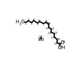 CCCCCCCC/C=C\CCCCCCCC(=O)O.[Y].[Yb]